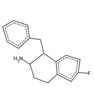 NC1CCc2cc(F)ccc2C1Cc1ccccc1